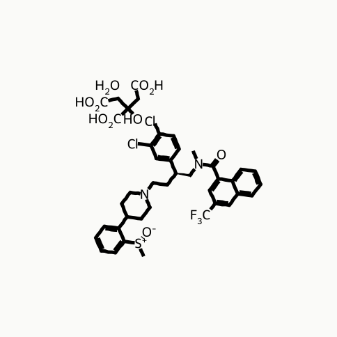 CN(C[C@@H](CCN1CCC(c2ccccc2[S+](C)[O-])CC1)c1ccc(Cl)c(Cl)c1)C(=O)c1cc(C(F)(F)F)cc2ccccc12.O.O=C(O)CC(O)(CC(=O)O)C(=O)O